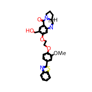 COc1cc(-c2nc3ccccc3s2)ccc1OCCOc1cc2c(cc1CO)C(=O)N1CCC[C@H]1C=N2